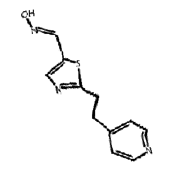 O/N=C/c1cnc(CCc2ccncc2)s1